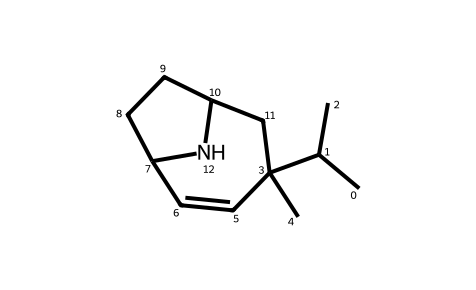 CC(C)C1(C)C=CC2CCC(C1)N2